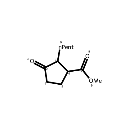 CCCCCC1C(=O)CCC1C(=O)OC